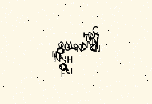 COc1cc2ncnc(Nc3ccc(F)c(Cl)c3)c2cc1OCCCN1CCN(Cc2ccncc2N2CCC(=O)NC2=O)CC1